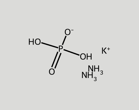 N.N.O=P([O-])(O)O.[K+]